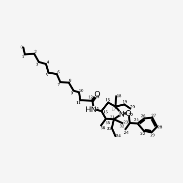 CCCCCCCCCCCCC(=O)NC1CC(C)(CC)N(OC(C)c2ccccc2)C(C)(CC)C1C